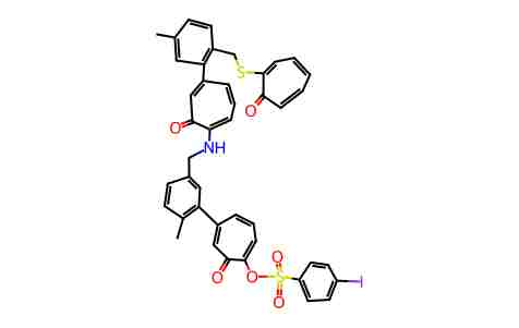 Cc1ccc(CSc2cccccc2=O)c(-c2cccc(NCc3ccc(C)c(-c4cccc(OS(=O)(=O)c5ccc(I)cc5)c(=O)c4)c3)c(=O)c2)c1